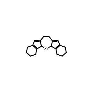 C1=C2CCC3=CC4=C(CCCC4)[CH]3[Zr][CH]2C2=C1CCCC2